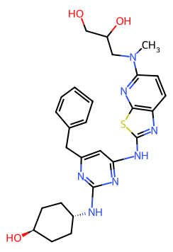 CN(CC(O)CO)c1ccc2nc(Nc3cc(Cc4ccccc4)nc(N[C@H]4CC[C@H](O)CC4)n3)sc2n1